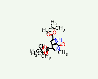 Cn1cc(B2OC(C)(C)C(C)(C)O2)c2cc(C(=O)OC(C)(C)C)[nH]c2c1=O